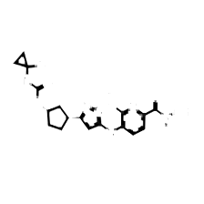 Cc1nc(C(=O)N(C)C)ccc1Nc1cc([C@H]2CC[C@@H](OC(=O)NC3(C)CC3)C2)[nH]n1